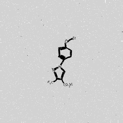 CCOc1ccc(-n2cc(C(=O)O)c(C(F)(F)F)n2)cc1